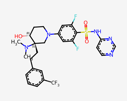 CN(C)[C@@]1(CCc2cccc(C(F)(F)F)c2)CN(c2cc(F)c(S(=O)(=O)Nc3ccncn3)c(F)c2)CC[C@H]1O